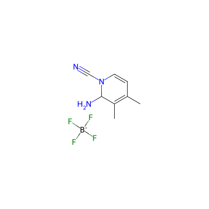 CC1=C(C)C(N)N(C#N)C=C1.F[B-](F)(F)F